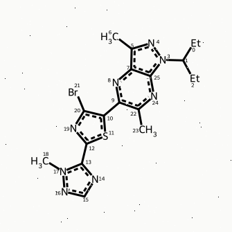 CCC(CC)n1nc(C)c2nc(-c3sc(-c4ncnn4C)nc3Br)c(C)nc21